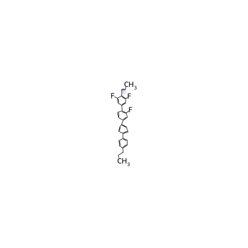 C/C=C/c1c(F)cc(-c2ccc(-c3ccc(-c4ccc(CCC)cc4)cc3)cc2F)cc1F